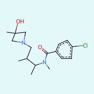 CC(CN1CC(C)(O)C1)C(C)N(C)C(=O)c1ccc(Cl)cc1